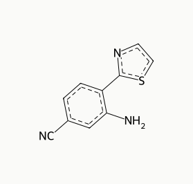 N#Cc1ccc(-c2nccs2)c(N)c1